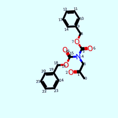 CC(=O)CN(C(=O)OCc1ccccc1)C(=O)OCc1ccccc1